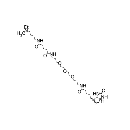 CCN(C)CCCCNC(=O)CCCC(=O)NCCCOCCOCCOCCCNC(=O)CCCC[C@@H]1SC[C@@H]2NC(=O)NC21